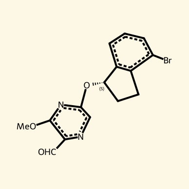 COc1nc(O[C@H]2CCc3c(Br)cccc32)cnc1C=O